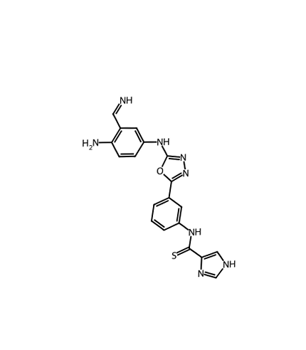 N=Cc1cc(Nc2nnc(-c3cccc(NC(=S)c4c[nH]cn4)c3)o2)ccc1N